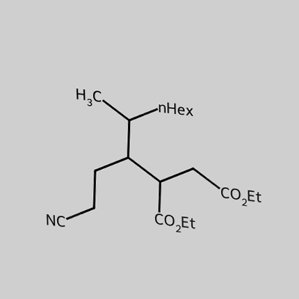 CCCCCCC(C)C(CCC#N)C(CC(=O)OCC)C(=O)OCC